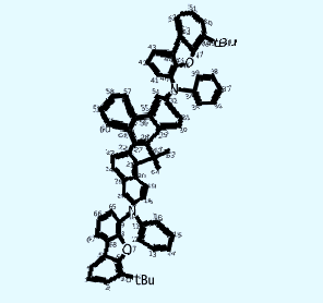 CC(C)(C)c1cccc2c1oc1c(N(c3ccccc3)c3ccc4c5c(ccc4c3)-c3c(c4ccc(N(c6ccccc6)c6cccc7c6oc6c(C(C)(C)C)cccc67)cc4c4ccccc34)C5(C)C)cccc12